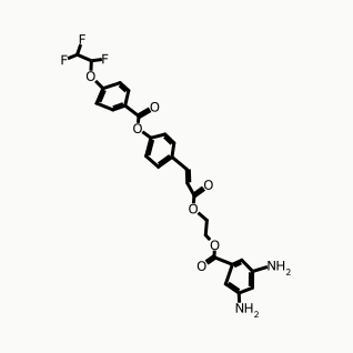 Nc1cc(N)cc(C(=O)OCCOC(=O)C=Cc2ccc(OC(=O)c3ccc(OC(F)C(F)F)cc3)cc2)c1